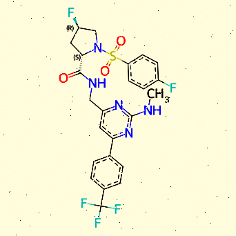 CNc1nc(CNC(=O)[C@@H]2C[C@@H](F)CN2S(=O)(=O)c2ccc(F)cc2)cc(-c2ccc(C(F)(F)F)cc2)n1